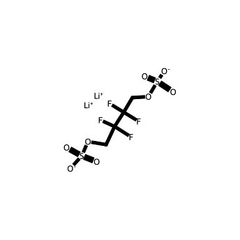 O=S(=O)([O-])OCC(F)(F)C(F)(F)COS(=O)(=O)[O-].[Li+].[Li+]